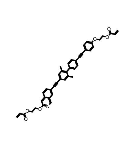 C=CC(=O)OCCOc1ccc(C#Cc2ccc(-c3c(C)cc(C#Cc4ccc5cc(OCCOC(=O)C=C)ncc5c4)cc3C)cc2)cc1